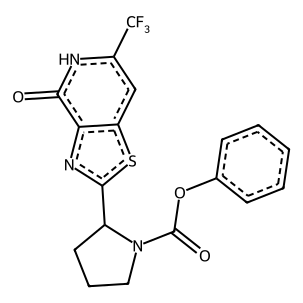 O=C(Oc1ccccc1)N1CCCC1c1nc2c(=O)[nH]c(C(F)(F)F)cc2s1